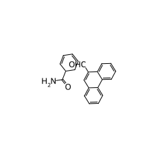 NC(=O)C1C=CC=CC1.O=Cc1cc2ccccc2c2ccccc12